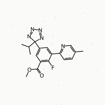 COC(=O)c1cc(C2(C(C)C)N=NN=N2)cc(-c2ccc(C)cn2)c1F